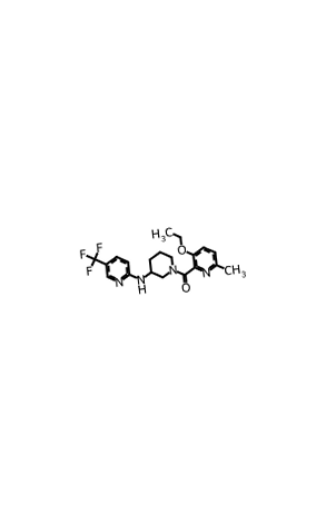 CCOc1ccc(C)nc1C(=O)N1CCCC(Nc2ccc(C(F)(F)F)cn2)C1